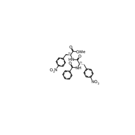 COC(=O)[C@H](Cc1ccc([N+](=O)[O-])cc1)NC(=O)[C@H](Cc1ccc([N+](=O)[O-])cc1)NC(=O)c1ccccc1